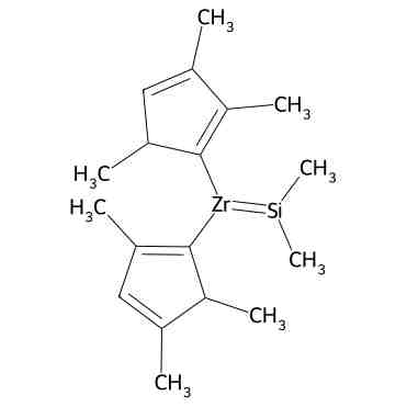 CC1=CC(C)[C]([Zr]([C]2=C(C)C=C(C)C2C)=[Si](C)C)=C1C